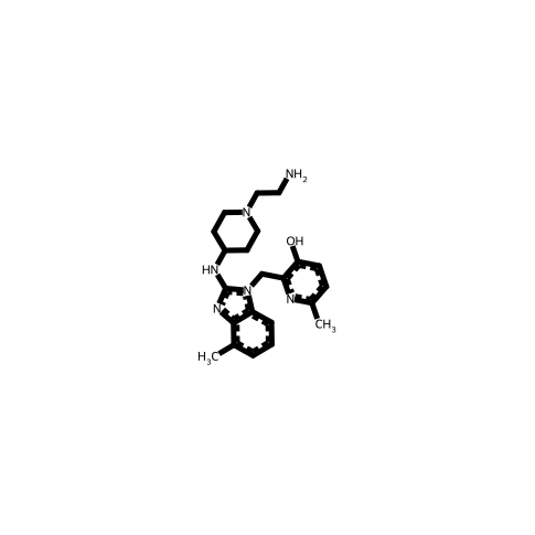 Cc1ccc(O)c(Cn2c(NC3CCN(CCN)CC3)nc3c(C)cccc32)n1